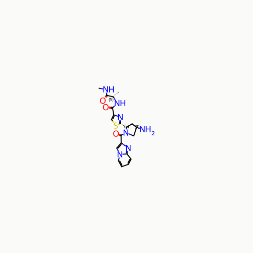 CNC(=O)[C@H](C)NC(=O)c1csc([C@@H]2C[C@@H](N)CN2C(=O)c2cn3ccccc3n2)n1